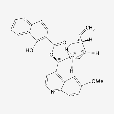 C=C[C@H]1CN2CC[C@H]1C[C@H]2[C@H](OC(=O)c1ccc2ccccc2c1O)c1ccnc2ccc(OC)cc12